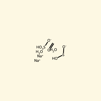 C=O.O.O.O=S(=O)([O-])O.[Na+].[Na+].[O-]SO